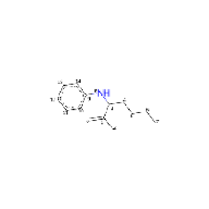 C=C(C)C(CCCC)Nc1ccccc1